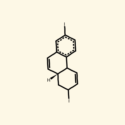 Ic1ccc2c(c1)C=C[C@H]1CC(I)C=CC21